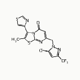 Cc1sc2nc(Cn3nc(C(F)(F)F)cc3Cl)cc(=O)n2c1-c1cscn1